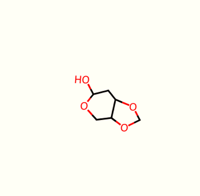 OC1CC2OCOC2CO1